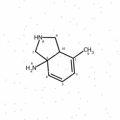 CC1=CC=CC2(N)CNCC12